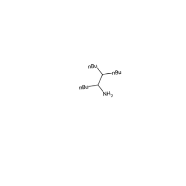 CCCC[C](CCCC)C(N)CCCC